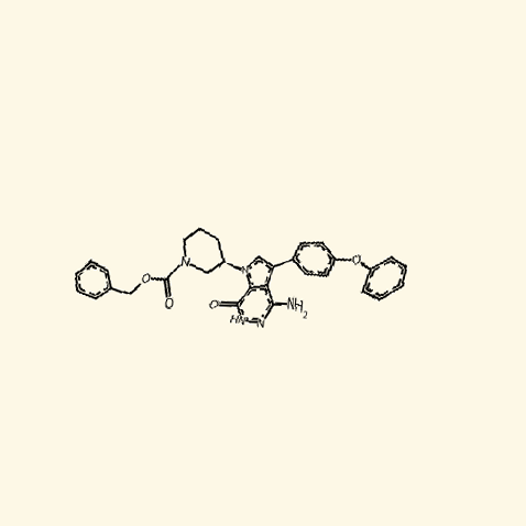 Nc1n[nH]c(=O)c2c1c(-c1ccc(Oc3ccccc3)cc1)cn2[C@@H]1CCCN(C(=O)OCc2ccccc2)C1